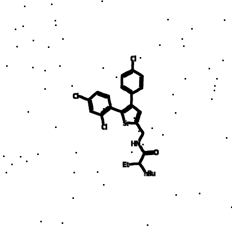 CCCCC(CC)C(=O)NCc1cc(-c2ccc(Cl)cc2)c(-c2ccc(Cl)cc2Cl)s1